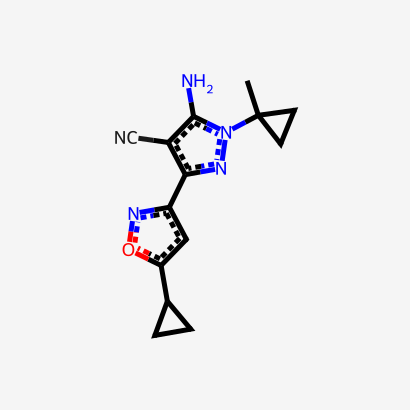 CC1(n2nc(-c3cc(C4CC4)on3)c(C#N)c2N)CC1